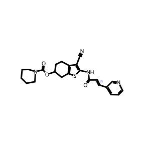 N#Cc1c(NC(=O)/C=C/c2cccnc2)sc2c1CCC(OC(=O)N1CCCCC1)C2